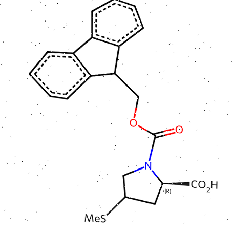 CSC1C[C@H](C(=O)O)N(C(=O)OCC2c3ccccc3-c3ccccc32)C1